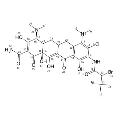 CN(C)c1c(Cl)c(NC(=O)C(Br)C(C)(C)C)c(O)c2c1CC1CC3[C@H](N(C)C)C(O)=C(C(N)=O)C(=O)[C@@]3(O)C(O)=C1C2=O